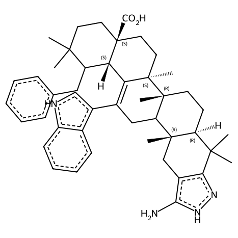 CC1(C)CC[C@]2(C(=O)O)CC[C@]3(C)C(=C(c4c[nH]c5ccccc45)CC4[C@@]5(C)Cc6c(n[nH]c6N)C(C)(C)[C@@H]5CC[C@]43C)[C@@H]2C1Cc1ccccc1